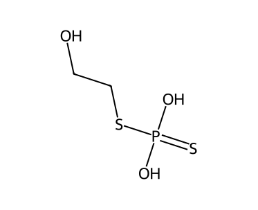 OCCSP(O)(O)=S